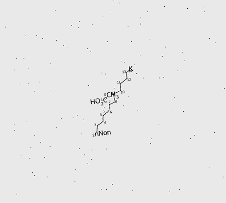 CC(=O)O.CCCCCCCCCCCCCCCCCCC[CH2][K]